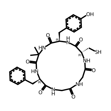 CC1(C)NC(=O)[C@@H](Cc2ccc(O)cc2)NC(=O)[C@H](CS)NC(=O)CNC(=O)CNC(=O)[C@@H](Cc2ccccc2)NC1=O